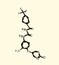 Cc1cc(NC(=O)NC(=O)c2ccc(C(F)(F)F)cc2)ccc1Oc1cnc(Cl)nc1